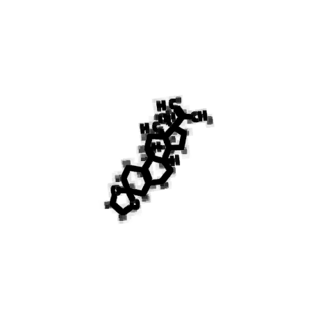 C=C(C)[C@@]1(O)CC[C@H]2[C@@H]3CCC4=C(CCC5(C4)OCCO5)C3=CC[C@@]21C